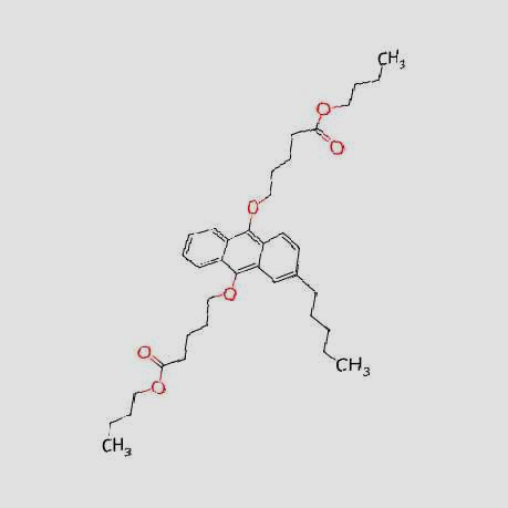 CCCCCc1ccc2c(OCCCCC(=O)OCCCC)c3ccccc3c(OCCCCC(=O)OCCCC)c2c1